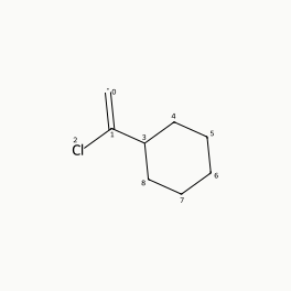 [CH]=C(Cl)C1CCCCC1